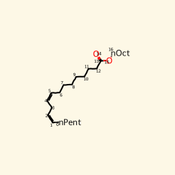 CCCCC/C=C\C/C=C\CCCCCCCC(=O)OCCCCCCCC